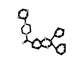 O=C(c1ccc2nc(-c3ccccc3)c(-c3ccccc3)nc2c1)N1CCN(c2cnccn2)CC1